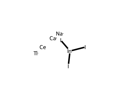 [Ca].[Ce].[I][In]([I])[I].[Na].[Tl]